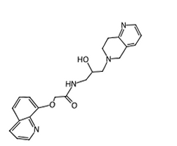 O=C(COc1cccc2cccnc12)NCC(O)CN1CCc2ncccc2C1